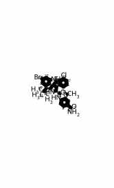 COc1cc(C(N)=O)ccc1NC(=O)[C@@H]1N[C@@H](CC(C)(C)C)[C@@]2(C(=O)Nc3cc(Br)ccc32)[C@H]1c1cccc(Cl)c1F